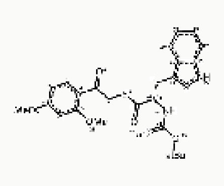 COc1ccc(C(=O)CSC(=O)[C@H](Cc2c[nH]c3ccccc23)NC(=O)OC(C)(C)C)c(OC)c1